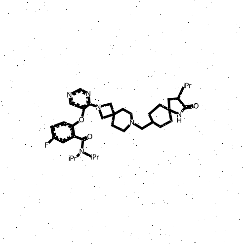 CC(C)C1CC2(CCC(CN3CCC4(CC3)CN(c3ncncc3Oc3ccc(F)cc3C(=O)N(C(C)C)C(C)C)C4)CC2)NC1=O